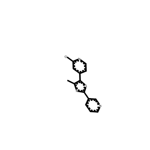 Cc1nc(-c2cccnc2)sc1-c1ccnc(Cl)c1